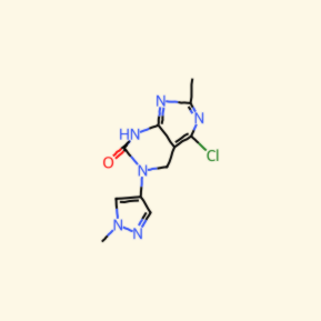 Cc1nc(Cl)c2c(n1)NC(=O)N(c1cnn(C)c1)C2